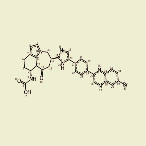 O=C(O)N[C@H]1CCc2ccn3c2C1C(=O)C[C@H](c1ncc(-c2ccc(-c4cnc5cc(Br)ccc5n4)cc2)[nH]1)C3